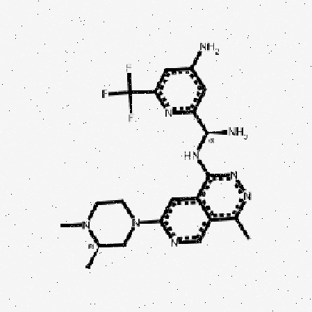 Cc1nnc(N[C@H](N)c2cc(N)cc(C(F)(F)F)n2)c2cc(N3CCN(C)[C@H](C)C3)ncc12